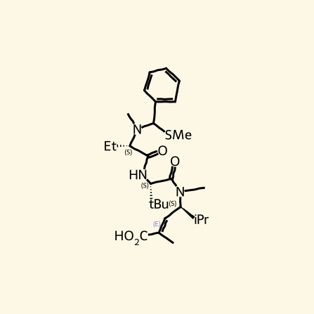 CC[C@@H](C(=O)N[C@H](C(=O)N(C)[C@H](/C=C(\C)C(=O)O)C(C)C)C(C)(C)C)N(C)C(SC)c1ccccc1